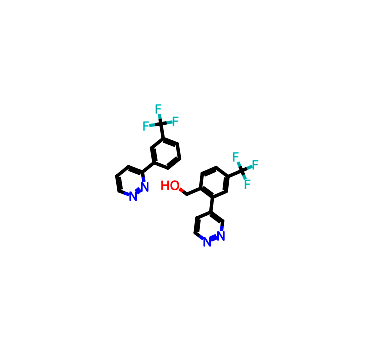 FC(F)(F)c1cccc(-c2cccnn2)c1.OCc1ccc(C(F)(F)F)cc1-c1ccnnc1